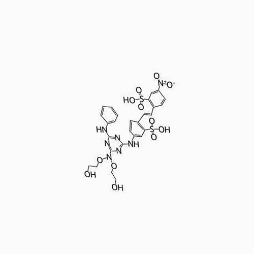 O=[N+]([O-])c1ccc(C=Cc2ccc(Nc3nc(Nc4ccccc4)nc(N(OCCO)OCCO)n3)cc2S(=O)(=O)O)c(S(=O)(=O)O)c1